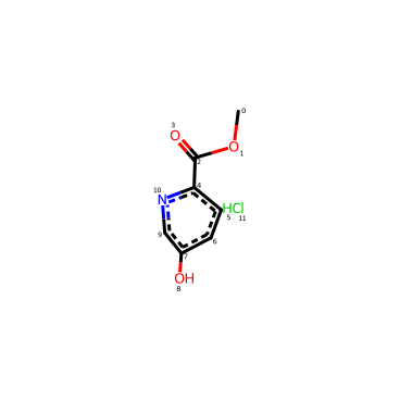 COC(=O)c1ccc(O)cn1.Cl